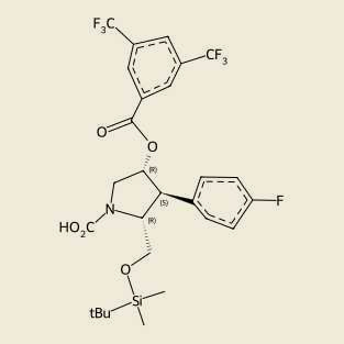 CC(C)(C)[Si](C)(C)OC[C@H]1[C@H](c2ccc(F)cc2)[C@@H](OC(=O)c2cc(C(F)(F)F)cc(C(F)(F)F)c2)CN1C(=O)O